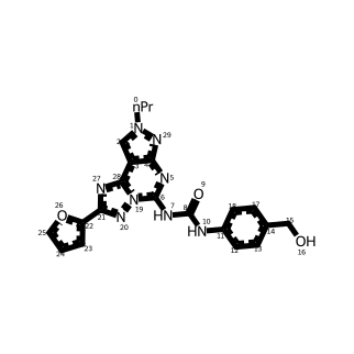 CCCn1cc2c(nc(NC(=O)Nc3ccc(CO)cc3)n3nc(-c4ccco4)nc23)n1